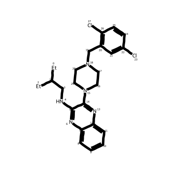 CCC(CC)CNc1nc2ccccc2nc1N1CCN(Cc2cc(Cl)ccc2Cl)CC1